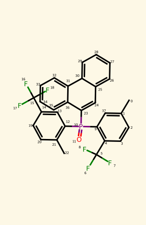 Cc1ccc(C(F)(F)F)c(P(=O)(c2cc(C(F)(F)F)ccc2C)c2cc3ccccc3c3ccccc23)c1